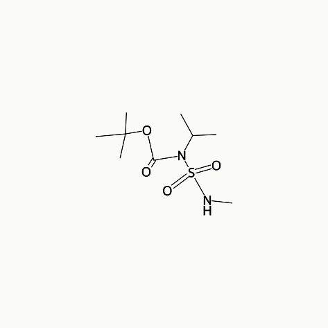 CNS(=O)(=O)N(C(=O)OC(C)(C)C)C(C)C